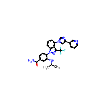 CC(C)Nc1cc(C(N)=O)ccc1-n1nc(C(F)(F)F)c2c(-n3cnc(-c4cccnc4)c3)cccc21